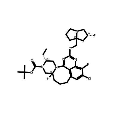 CC[C@@H]1CN2c3nc(OC[C@@]45CCCN4C[C@H](F)C5)nc4c(F)c(Cl)cc(c34)CCC[C@@H]2CN1C(=O)OC(C)(C)C